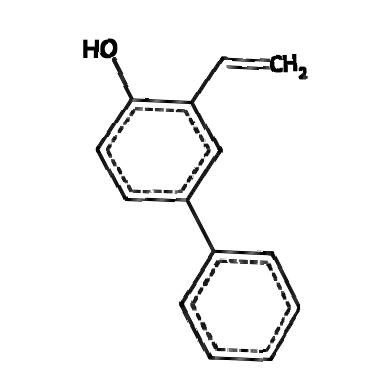 C=Cc1cc(-c2ccccc2)ccc1O